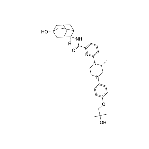 C[C@@H]1CN(c2ccc(OCC(C)(C)O)cc2)CCN1c1cccc(C(=O)N[C@H]2C3CC4CC2C[C@](O)(C4)C3)n1